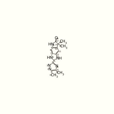 Cc1nnc(C2Nc3cc4c(cc3N2)C(C)(C)C(=O)N4)nc1C